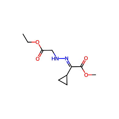 CCOC(=O)CN/N=C(/C(=O)OC)C1CC1